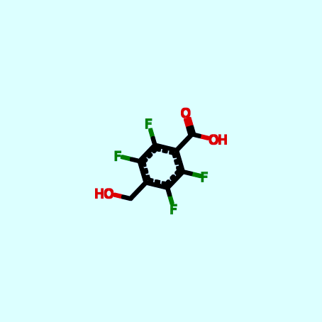 O=C(O)c1c(F)c(F)c(CO)c(F)c1F